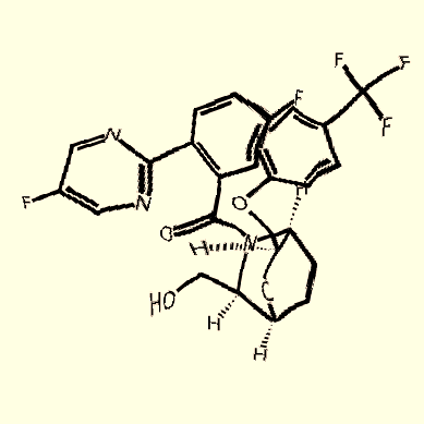 O=C(c1cc(F)ccc1-c1ncc(F)cn1)N1[C@H](CO)[C@@H]2CC[C@H]1[C@H](Oc1ccc(C(F)(F)F)cn1)C2